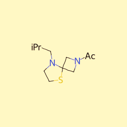 CC(=O)N1CC2(C1)SCCN2CC(C)C